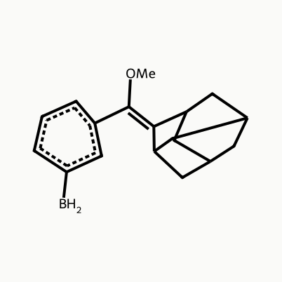 Bc1cccc(C(OC)=C2C3CC4CC(C3)CC2C4)c1